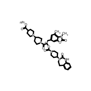 CCCOC(=O)C1CCN(C2CCN(C(=O)[C@@H](Cc3cc(C)c4c(c3)oc(=O)n4C)OC(=O)N3CCC(N4CCc5ccccc5NC4=O)CC3)CC2)CC1